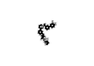 C=C(c1cccc(-c2ccc(F)c(F)c2)c1)N1CCCC(c2cccc(CC(C)(C)C(=C)NSc3cccs3)c2)C1